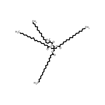 CCCCCCCCCCCCCCCCCC(=O)OCC(COC(=O)CCCCCCCCCCCCCCCCC)(COC(=O)CCCCCCCCCCCCCCCCC)COC(=O)C(C)CCCCCCCCCCCCCCC